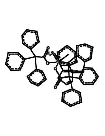 [CH3][Ti]([CH3])(=[SiH2])([O]C(=O)C(c1ccccc1)(c1ccccc1)c1ccccc1)([O]C(=O)C(c1ccccc1)(c1ccccc1)c1ccccc1)([C]1=CC=CC1)[CH]1C=Cc2ccccc21